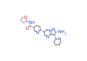 Nc1nn2cc(-c3ccc(C(=O)NC4CCCO4)cn3)cnc2c1-c1ccccn1